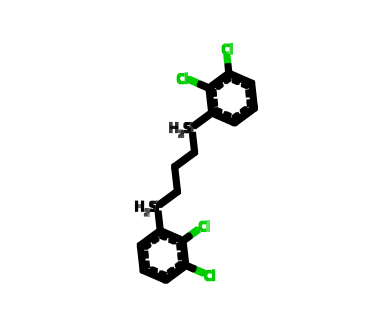 Clc1cccc([SiH2]CCC[SiH2]c2cccc(Cl)c2Cl)c1Cl